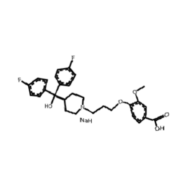 COc1cc(C(=O)O)ccc1OCCCN1CCC(C(O)(c2ccc(F)cc2)c2ccc(F)cc2)CC1.[NaH]